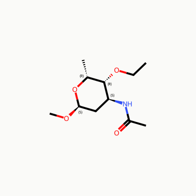 CCO[C@@H]1[C@@H](NC(C)=O)C[C@@H](OC)O[C@@H]1C